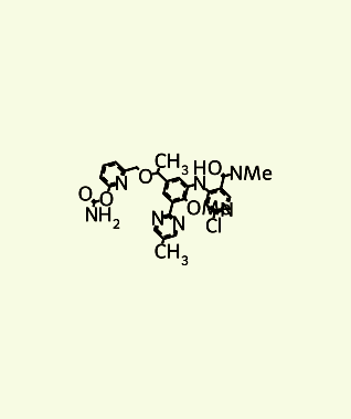 CNC(=O)c1cnc(Cl)cc1Nc1cc(C(C)OCc2cccc(OC(N)=O)n2)cc(-c2ncc(C)cn2)c1OC